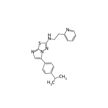 CC(C)c1ccc(-c2cnc3sc(NCCc4ccccn4)nn23)cc1